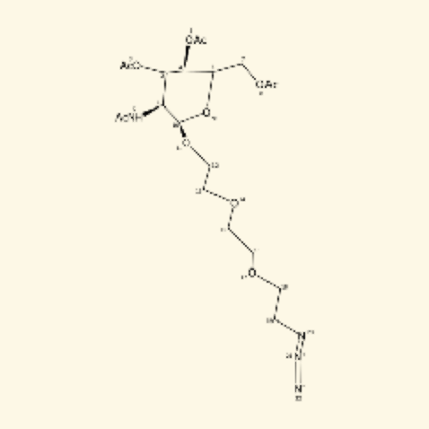 CC(=O)N[C@H]1C(OC(C)=O)[C@@H](OC(C)=O)C(COC(C)=O)O[C@H]1OCCOCCOCCN=[N+]=[N-]